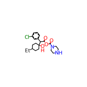 CCC1CCC(O)(C(C(=O)OC(=O)N2CCNCC2)c2cccc(Cl)c2)CC1